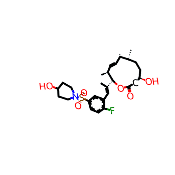 C/C(=C\c1cc(S(=O)(=O)N2CCC(O)CC2)ccc1F)[C@H]1OC(=O)C[C@H](O)CC[C@@H](C)[CH]/C=C/[C@@H]1C